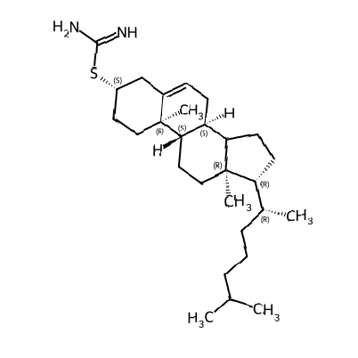 CC(C)CCC[C@@H](C)[C@H]1CCC2[C@@H]3CC=C4C[C@@H](SC(=N)N)CC[C@]4(C)[C@H]3CC[C@@]21C